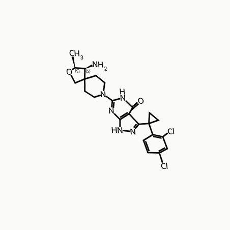 C[C@@H]1OCC2(CCN(c3nc4[nH]nc(C5(c6ccc(Cl)cc6Cl)CC5)c4c(=O)[nH]3)CC2)[C@@H]1N